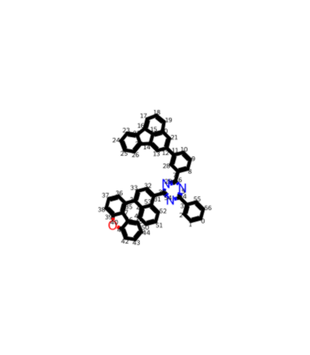 c1ccc(-c2nc(-c3cccc(-c4cc5c6c(cccc6c4)-c4ccccc4-5)c3)nc(-c3ccc(-c4cccc5oc6ccccc6c45)c4ccccc34)n2)cc1